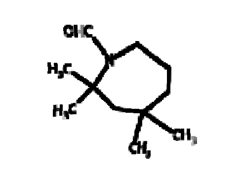 CC1(C)CCCN(C=O)C(C)(C)C1